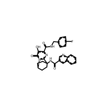 O=C(NC12CCC(CC1)Cn1c2nc(C(=O)NCc2ccc(F)cc2)c(O)c1=O)c1cnc2ccccc2c1